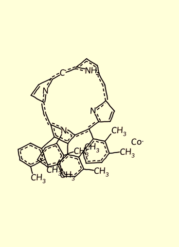 Cc1cccc(-c2c(-c3cccc(C)c3C)c3c(-c4cccc(C)c4C)c4nc(cc5ccc(cc6nc(cc2n3-c2cccc(C)c2C)C=C6)[nH]5)C=C4)c1C.[Co]